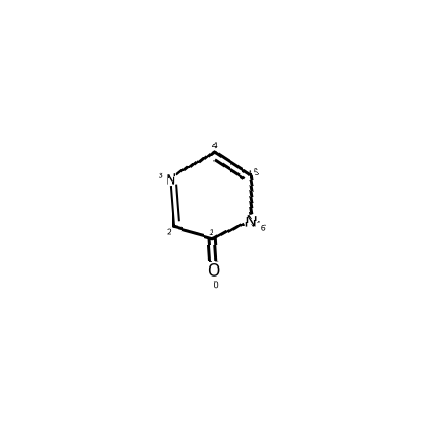 O=C1C=NC=[C][N]1